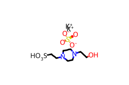 O=S(=O)(O)CCN1CCN(CCO)CC1.O=S(=O)([O-])[O-].[K+].[K+]